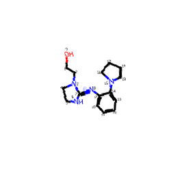 OCCN1CCN/C1=N\c1ccccc1N1CCCC1